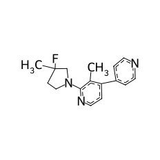 Cc1c(-c2ccncc2)ccnc1N1CCC(C)(F)C1